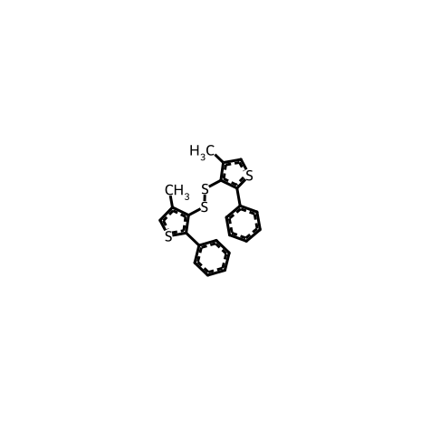 Cc1csc(-c2ccccc2)c1SSc1c(C)csc1-c1ccccc1